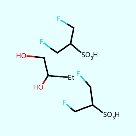 CCC(O)CO.O=S(=O)(O)C(CF)CF.O=S(=O)(O)C(CF)CF